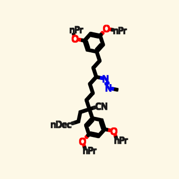 CCCCCCCCCCCCC(C#N)(CCCC(CCc1cc(OCCC)cc(OCCC)c1)N=NC)c1cc(OCCC)cc(OCCC)c1